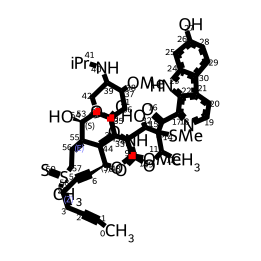 CC#C/C=C\C#C[C@H](OC1OC(C)C(SC)(C(=O)c2nccc3c2[nH]c2cc(O)ccc23)C(O)C1OC1CC(OC)C(NC(C)C)CO1)C1=C(NC(=O)OC)C(=O)C[C@H](O)/C1=C/CS(C)=S